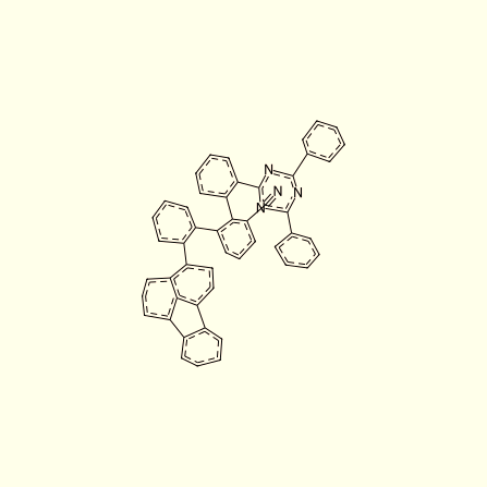 N#Cc1cccc(-c2ccccc2-c2ccc3c4c(cccc24)-c2ccccc2-3)c1-c1ccccc1-c1nc(-c2ccccc2)nc(-c2ccccc2)n1